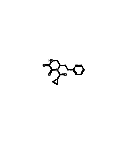 O=C1NCC(CCc2ccccc2)N(C(=O)C2CC2)C1=O